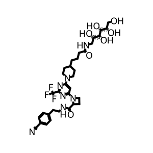 N#Cc1ccc(CCNC(=O)C2CCN2c2cc(N3CCC(CCCC(=O)NC[C@@H](O)[C@H](O)[C@@H](O)[C@@H](O)CO)CC3)nc(C(F)(F)F)n2)cc1